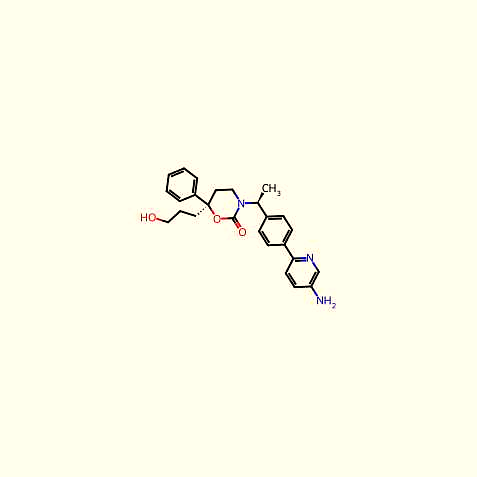 C[C@@H](c1ccc(-c2ccc(N)cn2)cc1)N1CC[C@](CCCO)(c2ccccc2)OC1=O